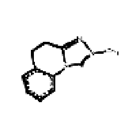 CN1CN2C(=N1)CCc1ccccc12